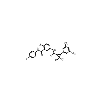 O=C(Nc1ccc(F)cc1)c1cc(NC(=O)C2C(c3cc(C(F)(F)F)cc(C(F)(F)F)c3)C2(Cl)Cl)ccc1Cl